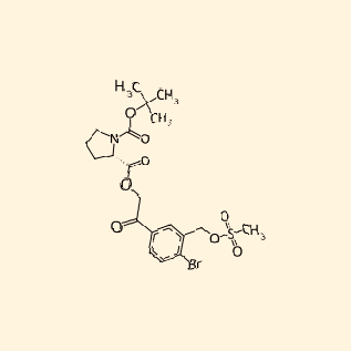 CC(C)(C)OC(=O)N1CCC[C@H]1C(=O)OCC(=O)c1ccc(Br)c(COS(C)(=O)=O)c1